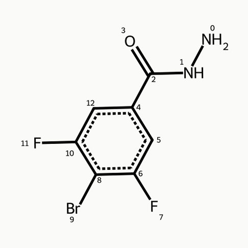 NNC(=O)c1cc(F)c(Br)c(F)c1